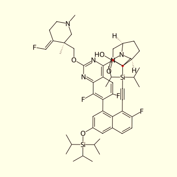 CC(C)[Si](C#Cc1c(F)ccc2cc(O[Si](C(C)C)(C(C)C)C(C)C)cc(-c3c(F)cc4c(N5C[C@H]6CC[C@@H](C5)N6C(=O)O)nc(OC[C@]5(C)CN(C)CC/C5=C\F)nc4c3F)c12)(C(C)C)C(C)C